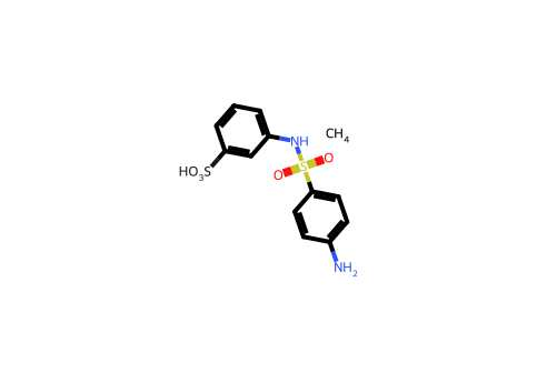 C.Nc1ccc(S(=O)(=O)Nc2cccc(S(=O)(=O)O)c2)cc1